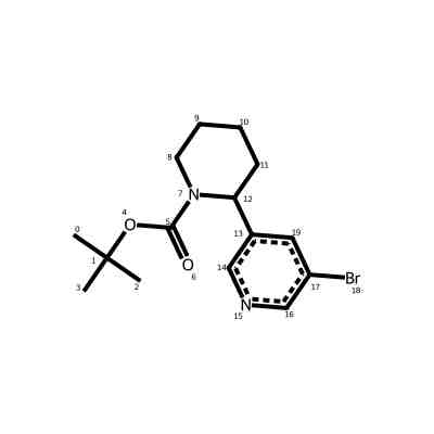 CC(C)(C)OC(=O)N1CCCCC1c1cncc(Br)c1